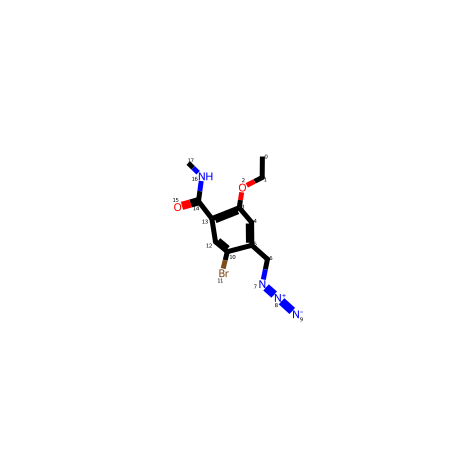 CCOc1cc(CN=[N+]=[N-])c(Br)cc1C(=O)NC